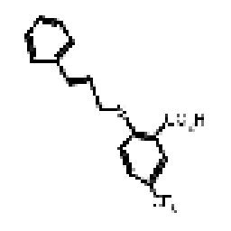 O=C(O)c1cc(C(F)(F)F)ccc1SCC=Cc1ccccc1